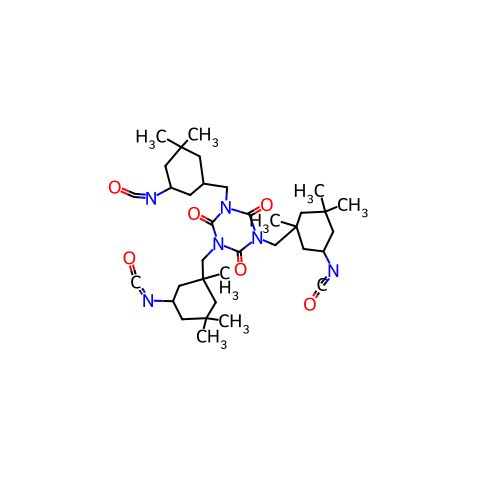 CC1(C)CC(Cn2c(=O)n(CC3(C)CC(N=C=O)CC(C)(C)C3)c(=O)n(CC3(C)CC(N=C=O)CC(C)(C)C3)c2=O)CC(N=C=O)C1